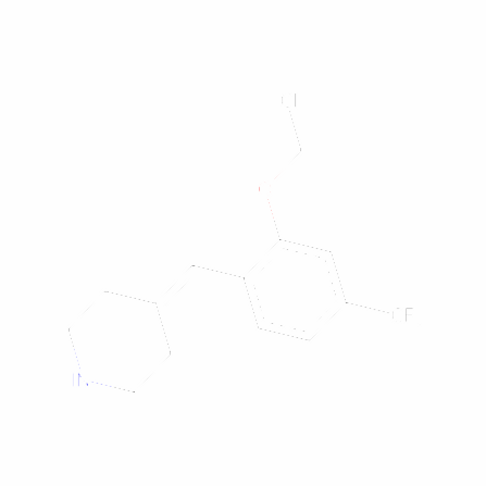 FC(F)(F)COc1cc(C(F)(F)F)ccc1C=C1CCNCC1